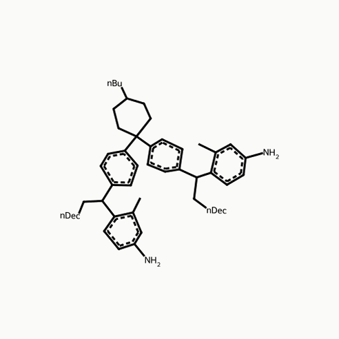 CCCCCCCCCCCC(c1ccc(C2(c3ccc(C(CCCCCCCCCCC)c4ccc(N)cc4C)cc3)CCC(CCCC)CC2)cc1)c1ccc(N)cc1C